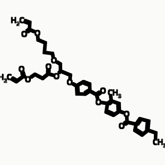 C=CC(=O)OCCCCOCC(COc1ccc(C(=O)Oc2ccc(OC(=O)c3ccc(CC)cc3)cc2C)cc1)OC(=O)CCOC(=O)C=C